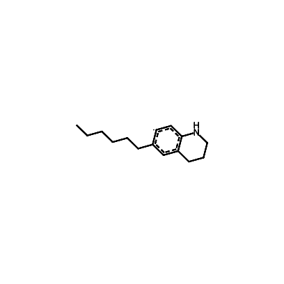 CCCCCCc1[c]cc2c(c1)CCCN2